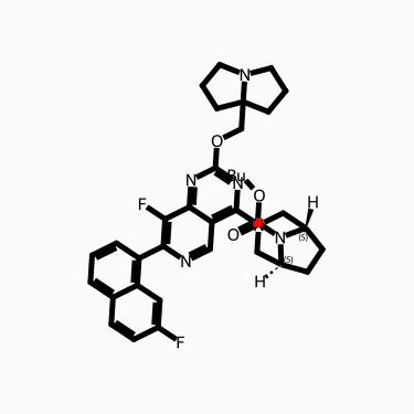 CC(C)(C)OC(=O)N1[C@H]2CC[C@H]1CN(c1nc(OCC34CCCN3CCC4)nc3c(F)c(-c4cccc5ccc(F)cc45)ncc13)C2